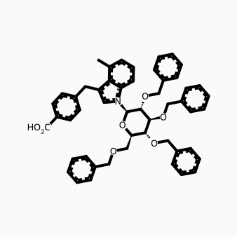 Cc1cccc2c1c(Cc1ccc(C(=O)O)cc1)cn2[C@@H]1O[C@H](COCc2ccccc2)[C@@H](OCc2ccccc2)[C@H](OCc2ccccc2)[C@H]1OCc1ccccc1